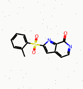 Cc1ccccc1S(=O)(=O)C1=CC2=CC=NC(=O)C2=N1